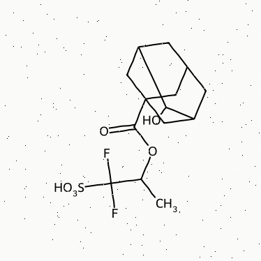 CC(OC(=O)C12CC3CC(C1)C(O)C(C3)C2)C(F)(F)S(=O)(=O)O